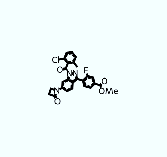 COC(=O)c1ccc(-c2nn(C(=O)c3c(C)cccc3Cl)c3cc(N4CCC4=O)ccc23)c(F)c1